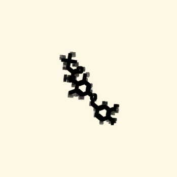 Cc1cc(OCc2ccc(F)c(F)c2)cc(C)c1NC(=O)CC(C)(C)C